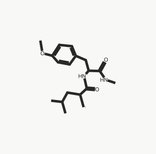 [CH2]C(CC(C)C)C(=O)NC(Cc1ccc(OC)cc1)C(=O)NC